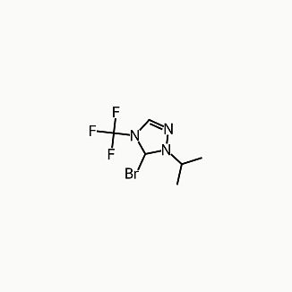 CC(C)N1N=CN(C(F)(F)F)C1Br